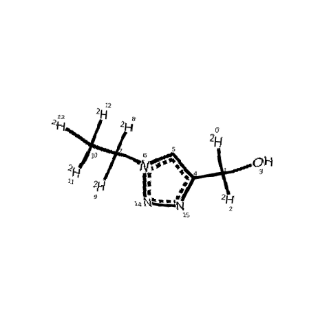 [2H]C([2H])(O)c1cn(C([2H])([2H])C([2H])([2H])[2H])nn1